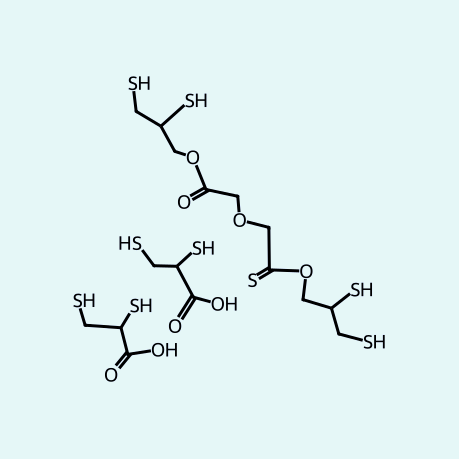 O=C(COCC(=S)OCC(S)CS)OCC(S)CS.O=C(O)C(S)CS.O=C(O)C(S)CS